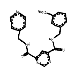 COc1cccc(CNC(=O)c2cc(C(=O)NCc3ccncc3)ncn2)c1